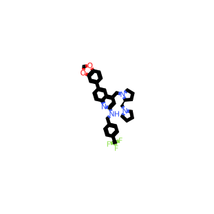 FC(F)(F)c1ccc(CNc2cc(CN3CCC[C@H]3CN3CCCC3)c3cc(-c4ccc5c(c4)OCO5)ccc3n2)cc1